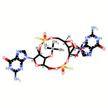 CC(C)(C)[Si](C)(C)OC1[C@H]2OP(=O)(S)OC[C@H]3O[C@@H](n4cnc5c(=O)[nH]c(N)nc54)[C@H](OP(=O)(S)OC[C@H]1O[C@H]2n1cnc2c(=O)[nH]c(N)nc21)C3O[Si](C)(C)C(C)(C)C